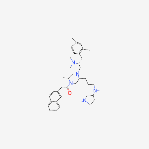 Cc1ccc(C[C@H](CN2C[C@@H](C)N(C(=O)Cc3ccc4ccccc4c3)C[C@@H]2CCCN(C)C2CCN(C)C2)N(C)C)c(C)c1